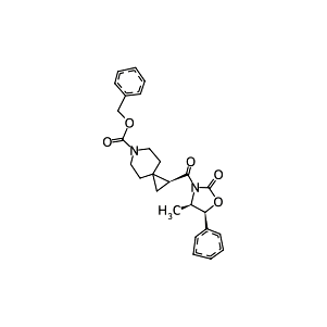 C[C@@H]1[C@H](c2ccccc2)OC(=O)N1C(=O)[C@H]1CC12CCN(C(=O)OCc1ccccc1)CC2